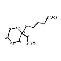 CCCCCCCCCCCCC1(CC=O)COCCS1